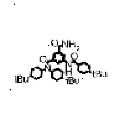 CCC(C)[C@H]1CC[C@@H](N(C(=O)c2cc(NC(=O)C3CCC(C(C)(C)C)CC3)cc(C(N)=O)c2)[C@H]2CC[C@@H](C(C)CC)CC2)CC1